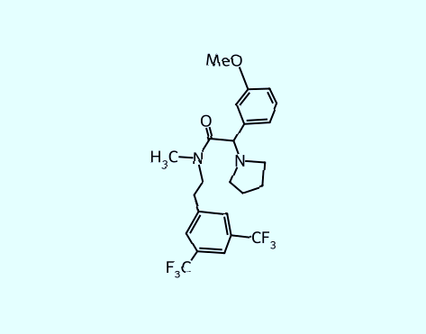 COc1cccc(C(C(=O)N(C)CCc2cc(C(F)(F)F)cc(C(F)(F)F)c2)N2CCCC2)c1